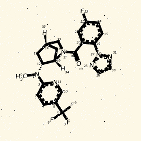 CN(c1ccc(C(F)(F)F)cn1)[C@@H]1C[C@H]2C[C@@H]1N(C(=O)c1cc(F)ccc1-n1nccn1)C2